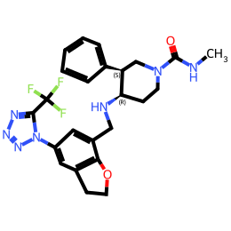 CNC(=O)N1CC[C@@H](NCc2cc(-n3nnnc3C(F)(F)F)cc3c2OCC3)[C@@H](c2ccccc2)C1